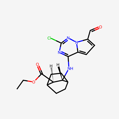 CCOC(=O)[C@@H]1C2CCC(CC2)[C@H]1Nc1nc(Cl)nn2c(C=O)ccc12